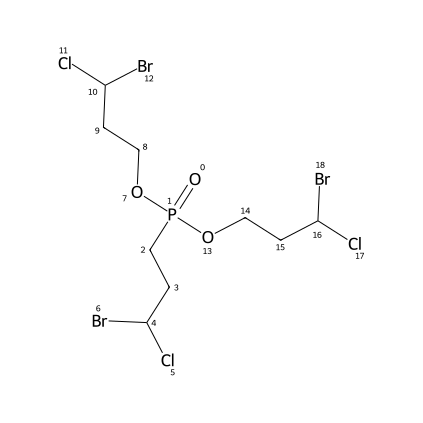 O=P(CCC(Cl)Br)(OCCC(Cl)Br)OCCC(Cl)Br